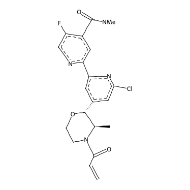 C=CC(=O)N1CCO[C@H](c2cc(Cl)nc(-c3cc(C(=O)NC)c(F)cn3)c2)[C@H]1C